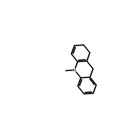 CN1C2=C(CCC=C2)Cc2ccccc21